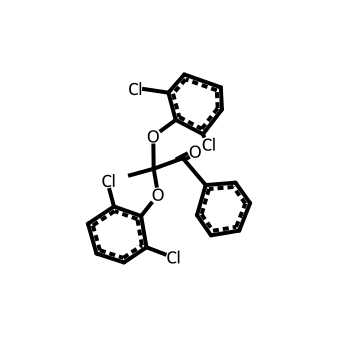 CC(Oc1c(Cl)cccc1Cl)(Oc1c(Cl)cccc1Cl)C(=O)c1ccccc1